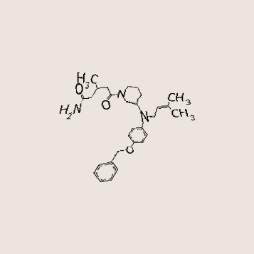 CC(C)=CCN(c1ccc(OCc2ccccc2)cc1)C1CCCN(C(=O)CC(C)CC(N)=O)C1